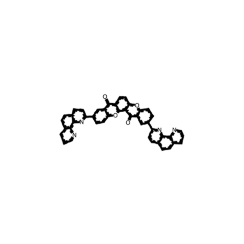 O=c1c2cc(-c3ccc4ccc5cccnc5c4n3)ccc2oc2c1ccc1oc3ccc(-c4ccc5ccc6cccnc6c5n4)cc3c(=O)c12